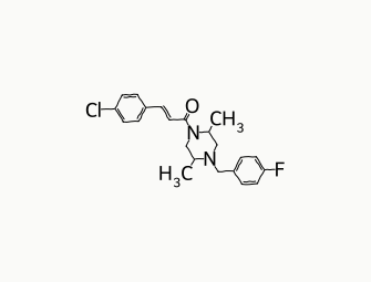 CC1CN(C(=O)C=Cc2ccc(Cl)cc2)C(C)CN1Cc1ccc(F)cc1